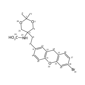 CC1(C)OCC(CCc2ccc3c(c2)Cc2ccc(Br)cc2O3)(NC(=O)O)CO1